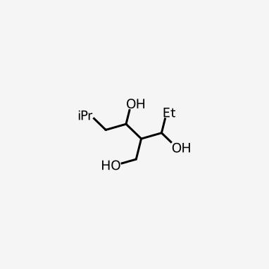 CCC(O)C(CO)C(O)CC(C)C